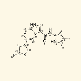 CC1=C(C)SC(NC(=O)C2=CNC3C=CC(N4CC[C@H](F)C4)=NN23)N1